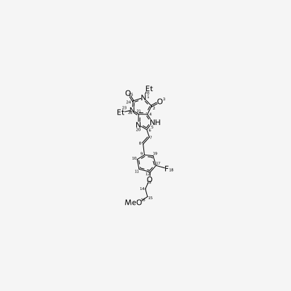 CCn1c(=O)c2[nH]c(C=Cc3ccc(OCCOC)c(F)c3)nc2n(CC)c1=O